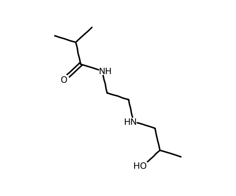 CC(O)CNCCNC(=O)C(C)C